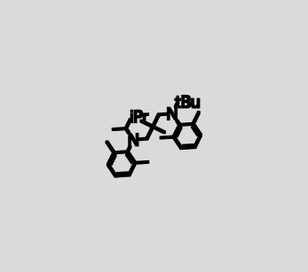 Cc1cccc(C)c1N(CC(C)(C)CN(c1c(C)cccc1C)C(C)(C)C)C(C)C(C)C